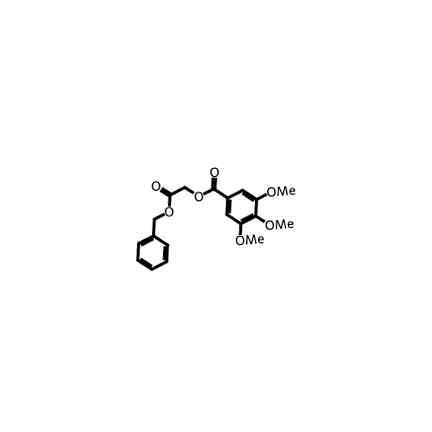 COc1cc(C(=O)OCC(=O)OCc2ccccc2)cc(OC)c1OC